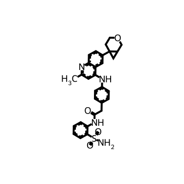 Cc1cc(Nc2ccc(CC(=O)Nc3ccccc3S(N)(=O)=O)cc2)c2cc(C34CCOCC3C4)ccc2n1